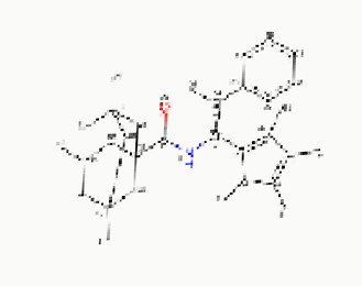 CC1=C(C)C(C)[C]([Zr]([NH]C(=O)C23CC4(C)CC(C)(CC(C)(C4)C2)C3)[SiH](C)c2ccccc2)=C1C